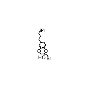 CC(C)CCCc1ccc2c(c1)OCC(O)(CBr)O2